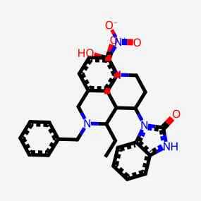 CCC(C1CN(C(=O)O)CCC1n1c(=O)[nH]c2ccccc21)N(Cc1ccccc1)Cc1ccc([N+](=O)[O-])cc1